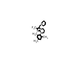 Cc1cc(C)c(N2CCCn3c2nc(C(F)(F)F)c3CN2CC=CCC2)c(C)c1